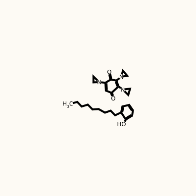 CCCCCCCCCc1ccccc1O.O=C1C=C(N2CC2)C(=O)C(N2CC2)=C1N1CC1